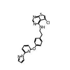 Clc1csc2ncnc(NCCc3ccc(Oc4cccc(-n5cccn5)n4)cc3)c12